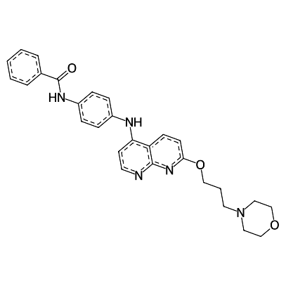 O=C(Nc1ccc(Nc2ccnc3nc(OCCCN4CCOCC4)ccc23)cc1)c1ccccc1